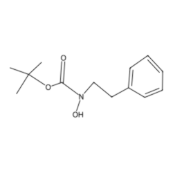 CC(C)(C)OC(=O)N(O)CCc1ccccc1